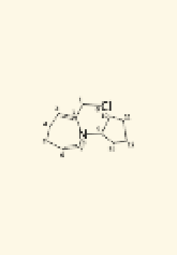 ClCC1=CCCC=CN1C1CCCC1